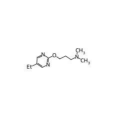 CCc1cnc(OCCCN(C)C)nc1